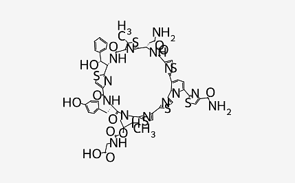 Cc1sc2nc1C(=O)N[C@@H]([C@H](O)c1ccccc1)c1nc(cs1)C(=O)N[C@@H](Cc1ccc(O)cc1)C(=O)N1C[C@H](OC(=O)NCC(=O)O)[C@H](C)[C@H]1c1nc(cs1)-c1nc(cs1)-c1nc(-c3nc(C(N)=O)cs3)ccc1-c1nc(cs1)C(=O)N[C@H]2CC(N)=O